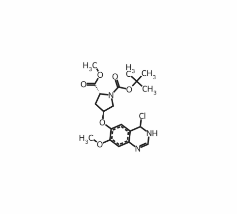 COC(=O)[C@H]1C[C@H](Oc2cc3c(cc2OC)N=CNC3Cl)CN1C(=O)OC(C)(C)C